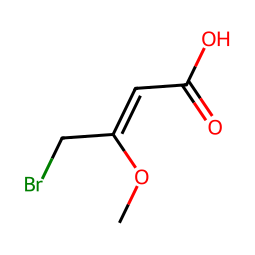 CO/C(=C\C(=O)O)CBr